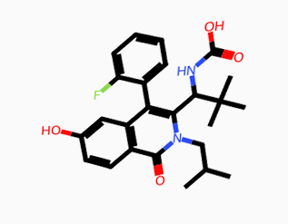 CC(C)Cn1c(C(NC(=O)O)C(C)(C)C)c(-c2ccccc2F)c2cc(O)ccc2c1=O